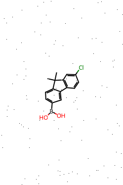 CC1(C)c2ccc(B(O)O)cc2-c2ccc(Cl)cc21